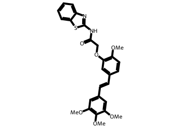 COc1ccc(C=Cc2cc(OC)c(OC)c(OC)c2)cc1OCC(=O)Nc1nc2ccccc2s1